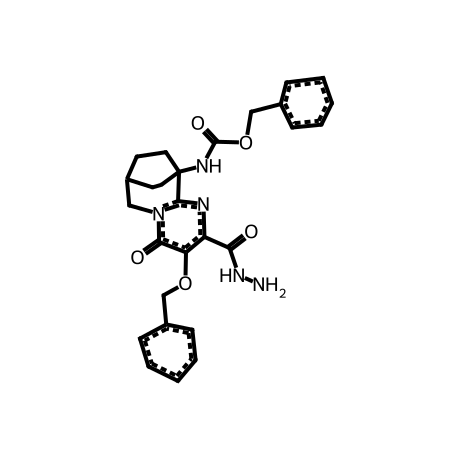 NNC(=O)c1nc2n(c(=O)c1OCc1ccccc1)CC1CCC2(NC(=O)OCc2ccccc2)CC1